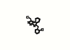 ClCc1nnc2nc(Cc3ccccc3Cl)c3ccccc3n12